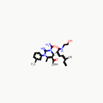 C=C/C(C#N)=C\C=C(/C(=O)NCCO)[C@@H]1C(C(=O)OC)=C(C)N(c2cccc(C(F)(F)F)c2)C(=N)N1C(N)=O